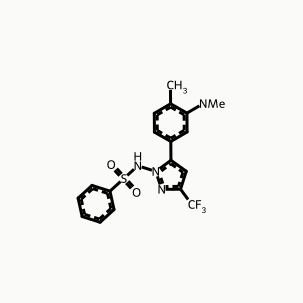 CNc1cc(-c2cc(C(F)(F)F)nn2NS(=O)(=O)c2ccccc2)ccc1C